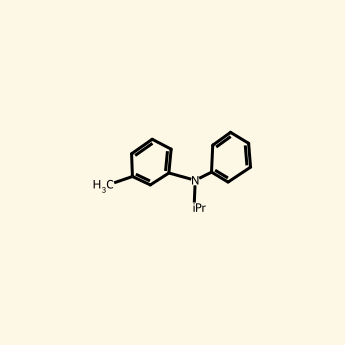 Cc1cccc(N(c2ccccc2)C(C)C)c1